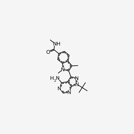 CNC(=O)c1ccc2c(C)c(-c3nn(C(C)(C)C)c4ncnc(N)c34)n(C)c2c1